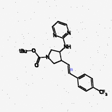 CC(C)(C)OC(=O)N1CC(/C=C/c2ccc(C(F)(F)F)cc2)C(Nc2ncccn2)C1